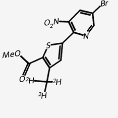 [2H]C([2H])([2H])c1cc(-c2ncc(Br)cc2[N+](=O)[O-])sc1C(=O)OC